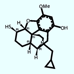 COc1cc(O)c2c3c1O[C@H]1[C@H](S)CC[C@H]4[C@@H](C2)N(CC2CC2)CC[C@@]341